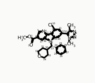 COC(=O)c1cnc2c3c(Cl)cc(-c4c(C)nnn4C)cc3n([C@H](c3ccccc3)C3CCOCC3)c2c1